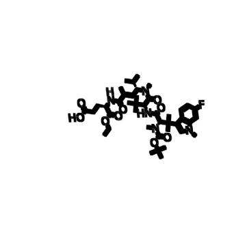 CCOC(=O)[C@@H](CCC(=O)O)NC(=O)/C(C)=C/[C@H](C(C)C)N(C)C(=O)[C@@H](NC(=O)[C@@H](N(C)C(=O)OC(C)(C)C)C(C)(C)c1cn(C)c2cc(F)ccc12)C(C)(C)C